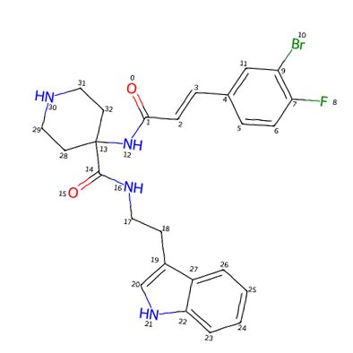 O=C(/C=C/c1ccc(F)c(Br)c1)NC1(C(=O)NCCc2c[nH]c3ccccc23)CCNCC1